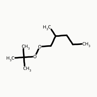 CCCC(C)COOC(C)(C)C